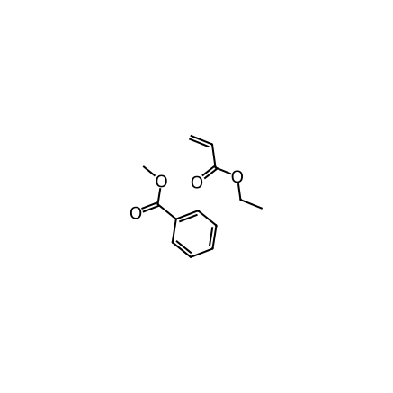 C=CC(=O)OCC.COC(=O)c1ccccc1